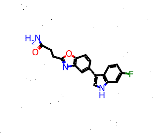 NC(=O)CCc1nc2cc(-c3c[nH]c4cc(F)ccc34)ccc2o1